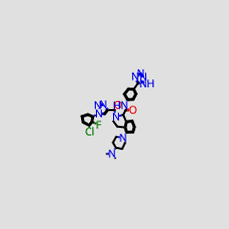 CN(C)C1CCN(c2cccc3c2CCN(C(=O)c2cn(-c4cccc(Cl)c4F)nn2)C3C(=O)Nc2ccc(-c3nnn[nH]3)cc2)CC1